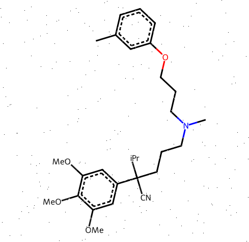 COc1cc(C(C#N)(CCCN(C)CCCOc2cccc(C)c2)C(C)C)cc(OC)c1OC